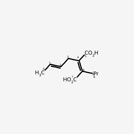 CC=CCC(C(=O)O)=C(C(=O)O)C(C)C